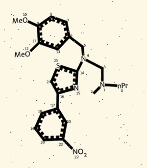 CCCN(C)CN(Cc1ccc(OC)c(OC)c1)c1nc(-c2cccc([N+](=O)[O-])c2)cs1